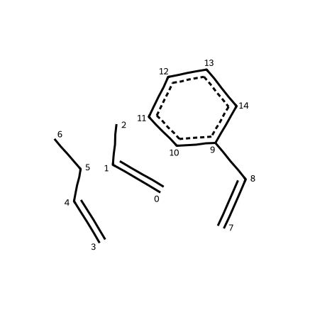 C=CC.C=CCC.C=Cc1ccccc1